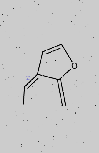 C=c1occ/c1=C/C